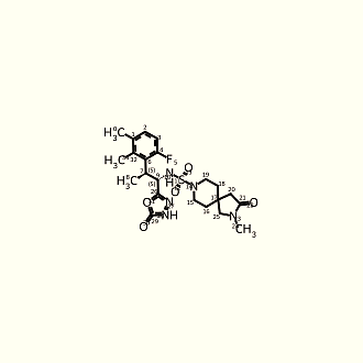 Cc1ccc(F)c([C@H](C)[C@H](NS(=O)(=O)N2CCC3(CC2)CC(=O)N(C)C3)c2n[nH]c(=O)o2)c1C